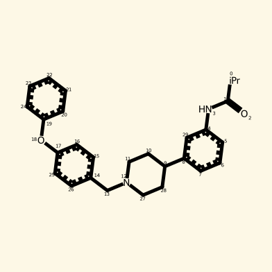 CC(C)C(=O)Nc1cccc(C2CCN(Cc3ccc(Oc4ccccc4)cc3)CC2)c1